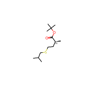 CC(C)CSCC[C@H](C)C(=O)OC(C)(C)C